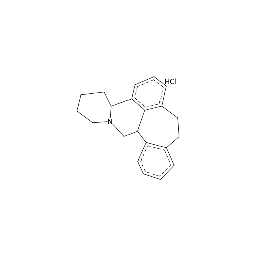 Cl.c1ccc2c(c1)CCc1cccc3c1C2CN1CCCCC31